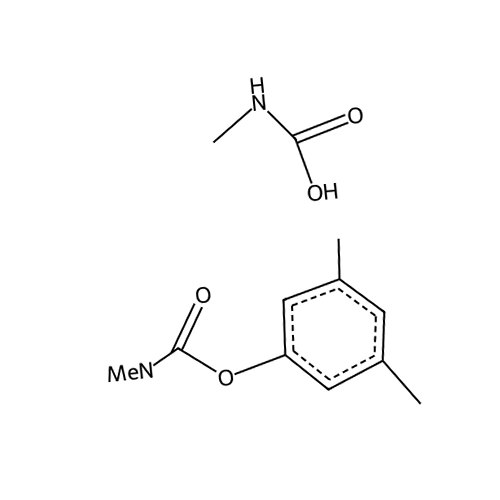 CNC(=O)O.CNC(=O)Oc1cc(C)cc(C)c1